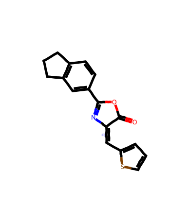 O=C1OC(c2ccc3c(c2)CCC3)=N/C1=C/c1cccs1